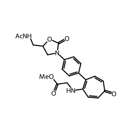 COC(=O)CNc1ccc(=O)ccc1-c1ccc(N2CC(CNC(C)=O)OC2=O)cc1